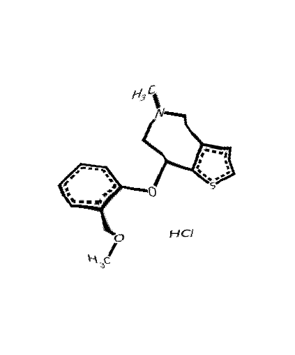 COc1ccccc1OC1CN(C)Cc2ccsc21.Cl